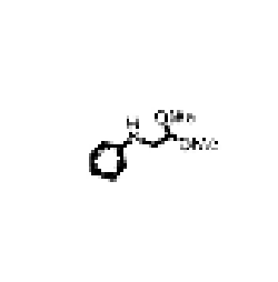 CO[C](CNc1ccccc1)OC